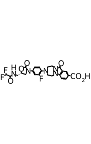 O=C(O)c1ccc2c(c1)c(=O)n1n2CCN(c2ccc(N3C[C@H](CNC(=O)C(F)F)OC3=O)cc2F)CC1